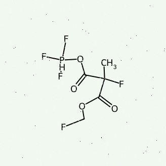 CC(F)(C(=O)OCF)C(=O)O[PH](F)(F)F